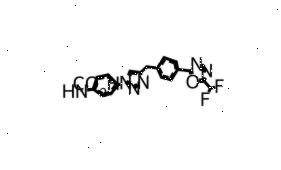 O=C(O)Nc1ccc(-n2cc(Cc3ccc(-c4nnc(C(F)F)o4)cc3)nn2)cc1